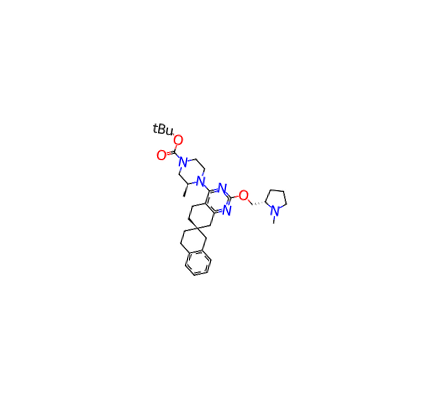 C[C@H]1CN(C(=O)OC(C)(C)C)CCN1c1nc(OC[C@@H]2CCCN2C)nc2c1CC[C@@]1(CCc3ccccc3C1)C2